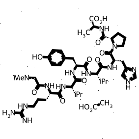 CC(=O)O.CNCC(=O)N[C@@H](CCCNC(=N)N)C(=O)N[C@H](C(=O)N[C@@H](Cc1ccc(O)cc1)C(=O)N[C@H](C(=O)N[C@@H](Cc1c[nH]cn1)C(=O)N1CCC[C@H]1C(=O)N[C@@H](C)C(=O)O)C(C)C)C(C)C